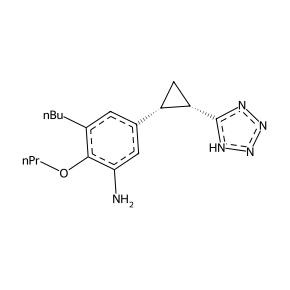 CCCCc1cc([C@@H]2C[C@@H]2c2nnn[nH]2)cc(N)c1OCCC